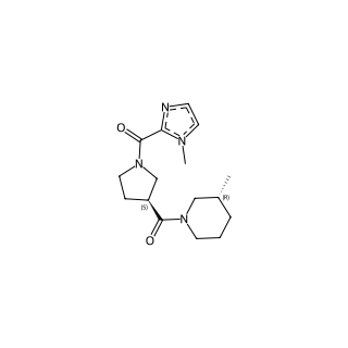 C[C@@H]1CCCN(C(=O)[C@H]2CCN(C(=O)c3nccn3C)C2)C1